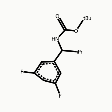 CC(C)C(NC(=O)OC(C)(C)C)c1cc(F)cc(F)c1